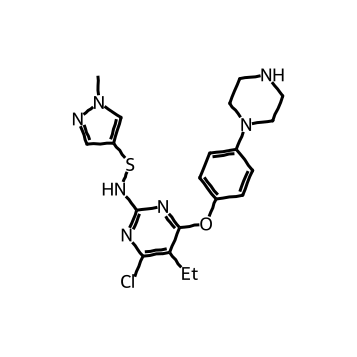 CCc1c(Cl)nc(NSc2cnn(C)c2)nc1Oc1ccc(N2CCNCC2)cc1